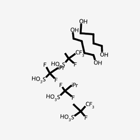 CC(C)C(F)(F)S(=O)(=O)O.CC(C)C(F)(F)S(=O)(=O)O.CC(F)(C(F)(F)F)S(=O)(=O)O.CC(F)(C(F)(F)F)S(=O)(=O)O.OCCCCO.OCCCCO